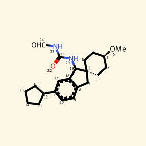 CO[C@H]1CC[C@]2(CC1)Cc1ccc(C3CCCC3)cc1C2NC(=O)NC=O